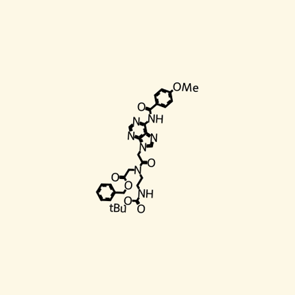 COc1ccc(C(=O)Nc2ncnc3c2ncn3CC(=O)N(CCNC(=O)OC(C)(C)C)CC(=O)OCc2ccccc2)cc1